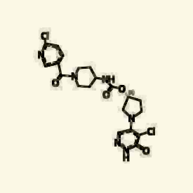 O=C(NC1CCN(C(=O)c2ccc(Cl)nc2)CC1)O[C@@H]1CCN(c2cn[nH]c(=O)c2Cl)C1